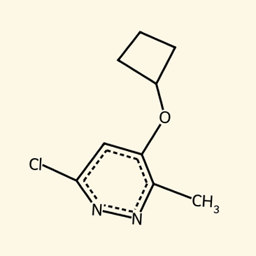 Cc1nnc(Cl)cc1OC1CCC1